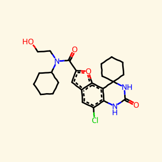 O=C1Nc2c(Cl)cc3cc(C(=O)N(CCO)C4CCCCC4)oc3c2C2(CCCCC2)N1